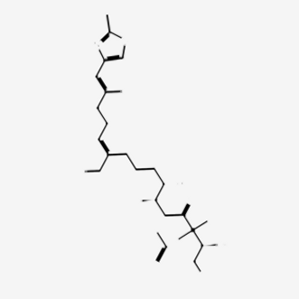 C=CC[C@@H](C(=O)C(C)(C)[C@@H](O)CC(=O)O)[C@@H](O)[C@@H](C)CCC/C(=C\CC/C(F)=C/c1csc(C)n1)CO